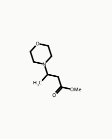 COC(=O)CC(C)N1CCOCC1